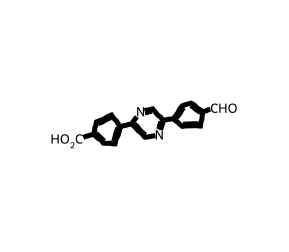 O=Cc1ccc(-c2cnc(-c3ccc(C(=O)O)cc3)cn2)cc1